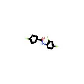 O=C(Nc1ccc(F)cc1F)c1ccc(F)cc1